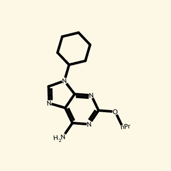 CCCOc1nc(N)c2ncn(C3CCCCC3)c2n1